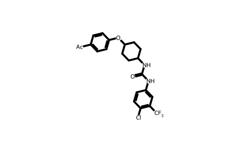 CC(=O)c1ccc(OC2CCC(NC(=O)Nc3ccc(Cl)c(C(F)(F)F)c3)CC2)cc1